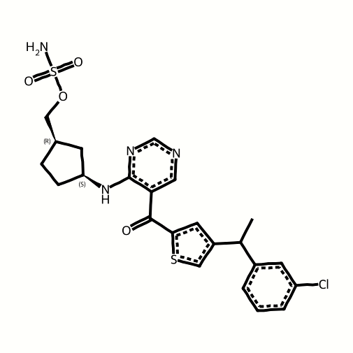 CC(c1cccc(Cl)c1)c1csc(C(=O)c2cncnc2N[C@H]2CC[C@@H](COS(N)(=O)=O)C2)c1